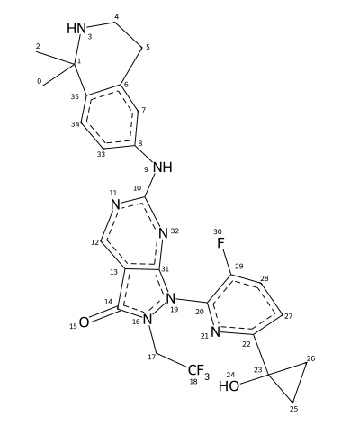 CC1(C)NCCc2cc(Nc3ncc4c(=O)n(CC(F)(F)F)n(-c5nc(C6(O)CC6)ccc5F)c4n3)ccc21